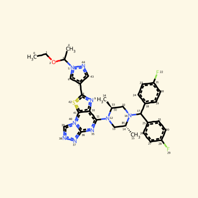 CCOC(C)n1cc(-c2nc3c(N4C[C@@H](C)N(C(c5ccc(F)cc5)c5ccc(F)cc5)C[C@@H]4C)nc4nncn4c3s2)cn1